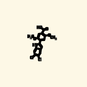 COc1cc(-c2cc3cc(Cl)c(Cl)cc3[nH]2)c(OC)cc1C(=O)O